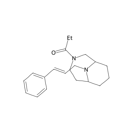 CCC(=O)N1CCC2CCCC(C1)N2CC=Cc1ccccc1